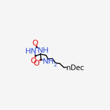 CCCCCCCCCCCCCCCCC1(C(N)=O)NC(=O)NC1=O